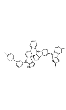 CC1=NC2C(=C1)C1=C(C=CC(C)C1)N2c1ccc2c(c1)C1=CC=NC1N2c1ccccc1-c1ccc2c(c1)c1cc[nH]c1n2-c1cccc(-c2ccc(C)cc2)c1